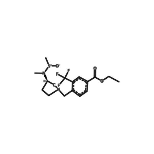 CCOC(=O)c1ccc(CN2CC[C@@H](N(C)[S+](C)[O-])C2)c(C(F)(F)F)c1